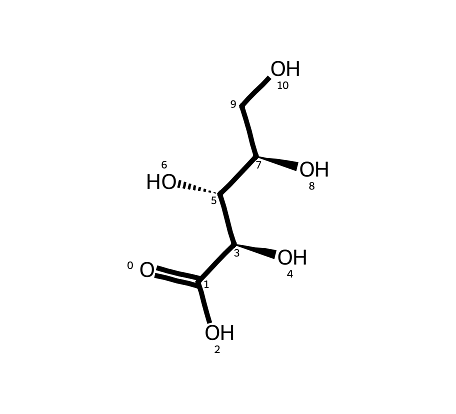 O=C(O)[C@H](O)[C@H](O)[C@H](O)CO